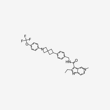 CCc1nc2ccn(C)cc-2c1C(=O)NCc1ccc(C2CC3(C2)CN(c2ccc(OC(F)(F)F)cc2)C3)cc1